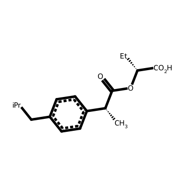 CC[C@@H](OC(=O)[C@H](C)c1ccc(CC(C)C)cc1)C(=O)O